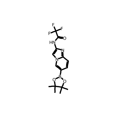 CC1(C)OB(c2ccc3nc(NC(=O)C(F)(F)F)cn3c2)OC1(C)C